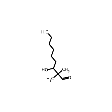 CCCCCCC(O)C(C)(C)C=O